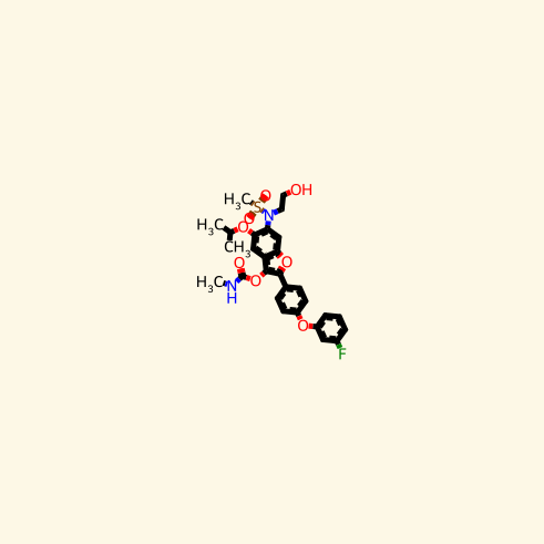 CNC(=O)Oc1c(-c2ccc(Oc3cccc(F)c3)cc2)oc2cc(N(CCO)S(C)(=O)=O)c(OC(C)C)cc12